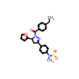 CCc1ccc(C(=O)N2N=C(c3ccc(N(C)[SH](=O)=O)cc3)CC2c2ccco2)cc1